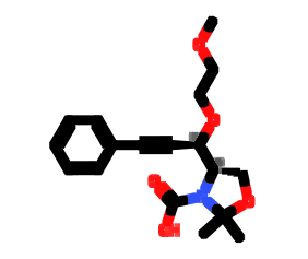 COCCO[C@H](C#Cc1ccccc1)[C@@H]1COC(C)(C)N1C(=O)O